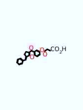 O=C(O)CCC(=O)Oc1ccc2oc3c(c(=O)c2c1)CCC3=Cc1ccccc1